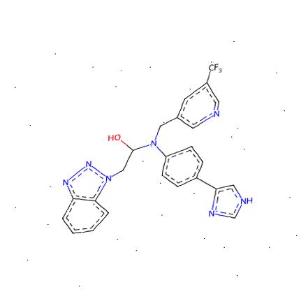 OC(Cn1nnc2ccccc21)N(Cc1cncc(C(F)(F)F)c1)c1ccc(-c2c[nH]cn2)cc1